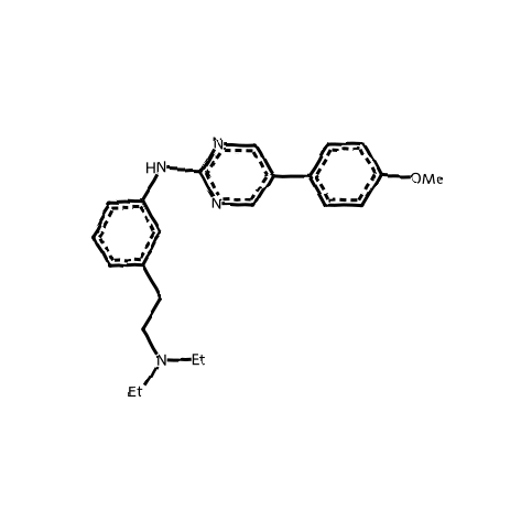 CCN(CC)CCc1cccc(Nc2ncc(-c3ccc(OC)cc3)cn2)c1